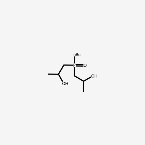 CCCCP(=O)(CC(C)O)CC(C)O